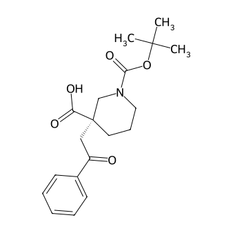 CC(C)(C)OC(=O)N1CCC[C@@](CC(=O)c2ccccc2)(C(=O)O)C1